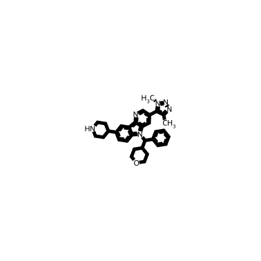 Cc1nnn(C)c1-c1cnc2c3cc(C4CCNCC4)ccc3n(C(c3ccccc3)C3CCOCC3)c2c1